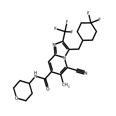 Cc1c(C(=O)NC2CCOCC2)cc2nc(C(F)(F)F)c(CC3CCC(F)(F)CC3)n2c1C#N